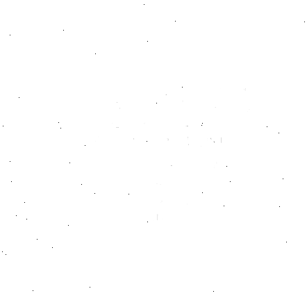 CCOC(=O)Cc1ccc(CC2(CNS(=O)(=O)c3ccc(Cl)cc3)CCCC2)cc1